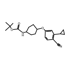 CC(C)(C)OC(=O)NC1CCC(Oc2ccc(C#N)c(C3CC3)c2)CC1